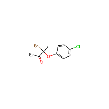 CCC(=O)C(C)(Br)Oc1ccc(Cl)cc1